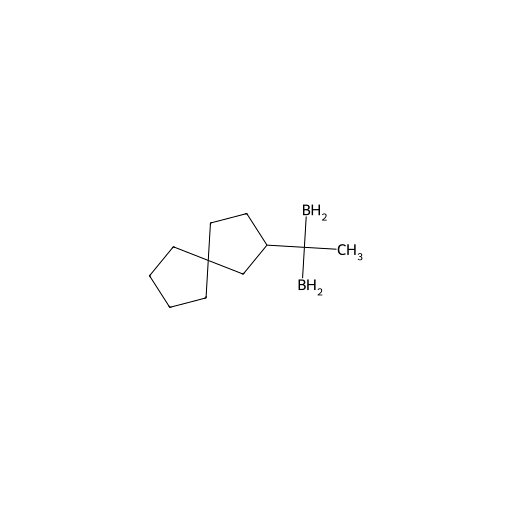 BC(B)(C)C1CCC2(CCCC2)C1